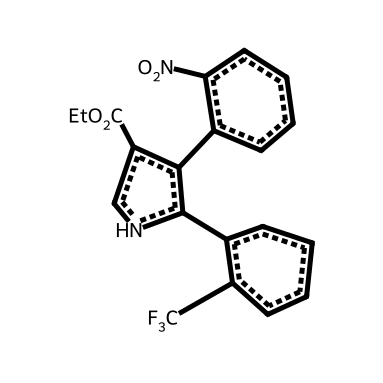 CCOC(=O)c1c[nH]c(-c2ccccc2C(F)(F)F)c1-c1ccccc1[N+](=O)[O-]